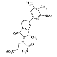 CNc1nc(-c2ccc3c(c2)C(C)N([C@@H](CCC(=O)O)C(N)=O)C3=O)cc(C)c1C